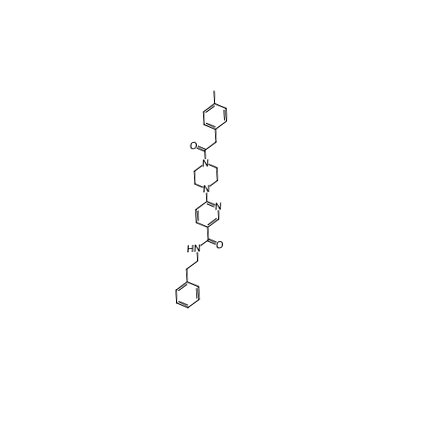 Cc1ccc(CC(=O)N2CCN(c3ccc(C(=O)NCCc4ccccc4)cn3)CC2)cc1